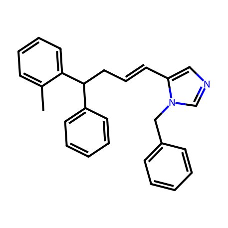 Cc1ccccc1C(CC=Cc1cncn1Cc1ccccc1)c1ccccc1